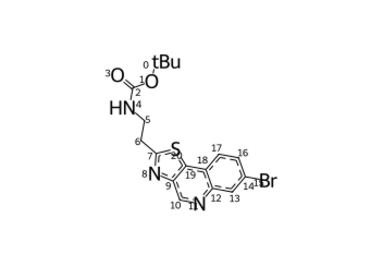 CC(C)(C)OC(=O)NCCc1nc2cnc3cc(Br)ccc3c2s1